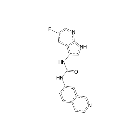 O=C(Nc1ccc2ccncc2c1)Nc1c[nH]c2ncc(F)cc12